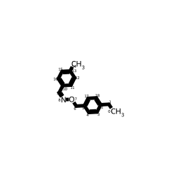 CCc1ccc(CO/N=[C]\c2ccc(C)cc2)cc1